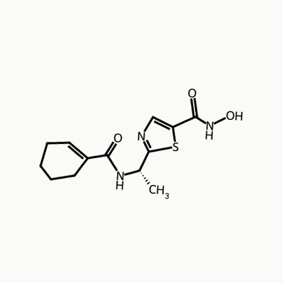 C[C@H](NC(=O)C1=CCCCC1)c1ncc(C(=O)NO)s1